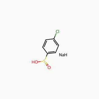 O=S(O)c1ccc(Cl)cc1.[NaH]